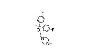 CC(OCCN1CCNCC1)(c1ccc(F)cc1)c1ccc(F)cc1